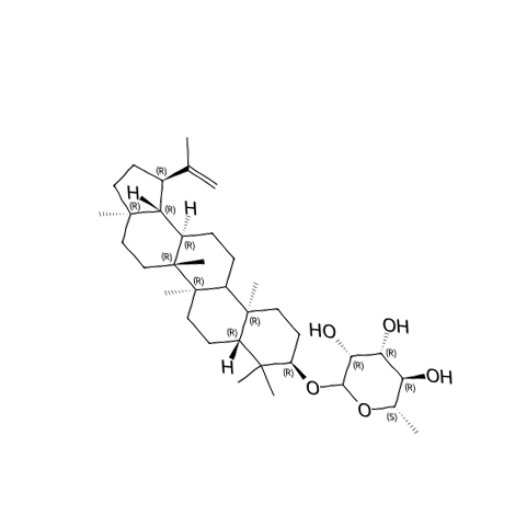 C=C(C)[C@@H]1CC[C@]2(C)CC[C@]3(C)[C@H](CCC4[C@@]5(C)CC[C@@H](OC6O[C@@H](C)[C@H](O)[C@@H](O)[C@H]6O)C(C)(C)[C@@H]5CC[C@]43C)[C@@H]12